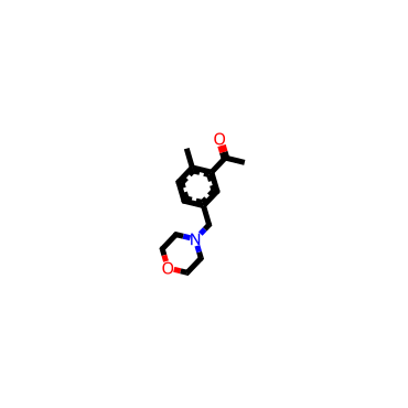 CC(=O)c1cc(CN2CCOCC2)ccc1C